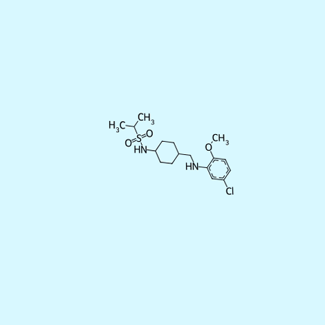 COc1ccc(Cl)cc1NCC1CCC(NS(=O)(=O)C(C)C)CC1